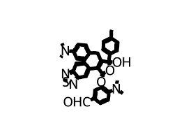 CN(C)c1ccc(C=O)cc1.Cc1ccc(C2(O)OC(=O)C(c3ccc4nsnc4c3)=C2Cc2ccc(N(C)C)cc2)cc1